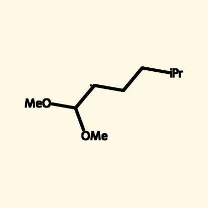 COC([CH]CCC(C)C)OC